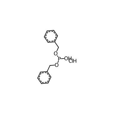 Cl.OP(OCc1ccccc1)OCc1ccccc1